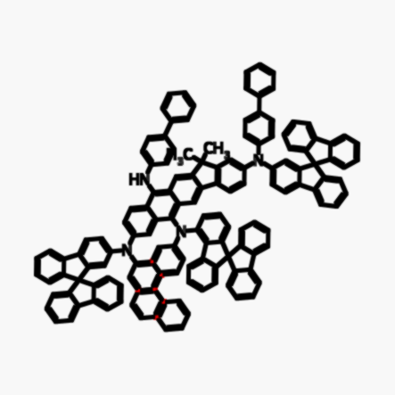 CC1(C)c2cc(N(c3ccc(-c4ccccc4)cc3)c3ccc4c(c3)C3(c5ccccc5-c5ccccc53)c3ccccc3-4)ccc2-c2cc3c(N(c4ccc(-c5ccccc5)cc4)c4cccc5c4-c4ccccc4C54c5ccccc5-c5ccccc54)c4cc(N(c5ccc(-c6ccccc6)cc5)c5ccc6c(c5)C5(c7ccccc7-c7ccccc75)c5ccccc5-6)ccc4c(Nc4ccc(-c5ccccc5)cc4)c3cc21